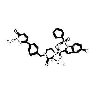 C[C@H]1C(=O)N(Cc2ccc(-c3ccc(=O)n(C)n3)cc2)CCN1S(=O)(=O)c1cc2cc(Cl)ccc2n1S(=O)(=O)c1ccccc1